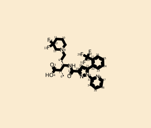 C[C@H](C(=O)O)[C@H](CCN1CCCC(F)(F)C1)NC(=O)c1cc(-c2ccccc2C(F)(F)F)n(-c2ccccn2)n1